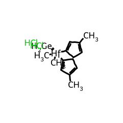 CC1=CC[C]([Hf]([CH3])([CH3])(=[GeH2])[C]2=CC(C)=CC2)=C1.Cl.Cl